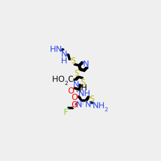 N=CNCCSCc1cnccc1SC1=C(C(=O)O)N2C(=O)[C@@H](NC(=O)/C(=N\OCCF)c3csc(N)n3)[C@@H]2SC1